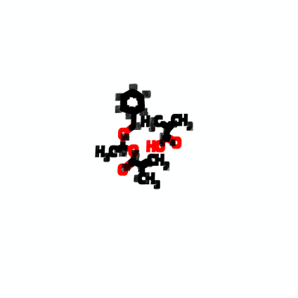 C=C(C)C(=O)O.C=C(C)C(=O)OC(C)OCc1ccccc1